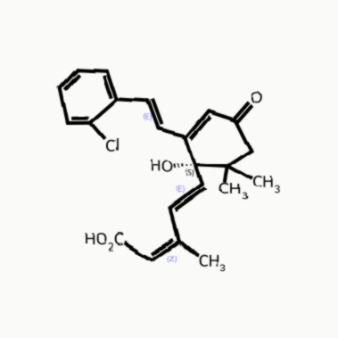 CC(=C/C(=O)O)/C=C/[C@@]1(O)C(/C=C/c2ccccc2Cl)=CC(=O)CC1(C)C